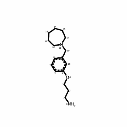 NCCCOc1cccc(CN2CCCCCC2)c1